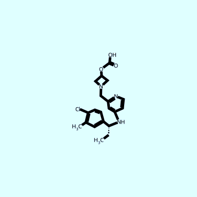 CC[C@@H](Nc1ccnc(CN2CC(OC(=O)O)C2)c1)c1ccc(Cl)c(C)c1